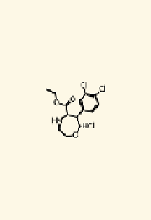 CCOC(=O)C1NCCOCC1c1ccc(Cl)c(Cl)c1.Cl